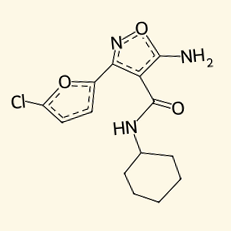 Nc1onc(-c2ccc(Cl)o2)c1C(=O)NC1CCCCC1